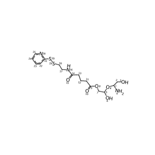 NC(CO)OC(O)COC(=O)CCCC(=O)NCCSSc1ccccn1